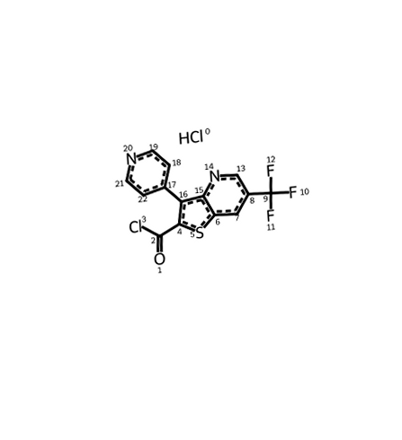 Cl.O=C(Cl)c1sc2cc(C(F)(F)F)cnc2c1-c1ccncc1